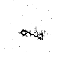 Cc1cncc(CC(O)C=Cc2ccccc2)n1